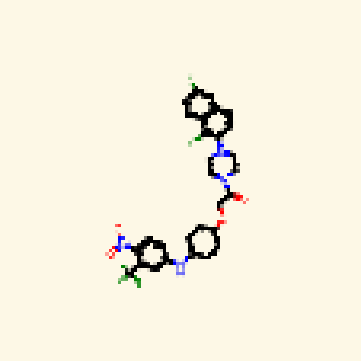 O=C(COC1CCC(Nc2ccc([N+](=O)[O-])c(C(F)(F)F)c2)CC1)N1CCN(c2ccc3cc(F)ccc3c2F)CC1